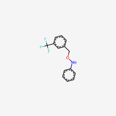 FC(F)(F)c1cccc(CONc2ccccc2)c1